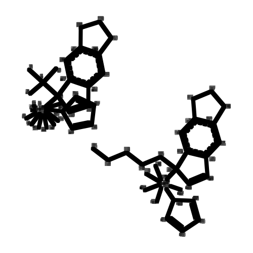 CC(C)(C)[C]1([Hf]([CH3])([CH3])([CH3])([CH3])([CH3])([CH3])([CH3])([CH3])([CH3])[CH]2C=CC=C2)C=Cc2cc3c(cc21)CCC3.CCCCC[C]1([Hf]([CH3])([CH3])([CH3])([CH3])([CH3])[CH]2C=CC=C2)C=Cc2cc3c(cc21)CCC3